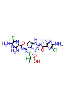 NC(=NC(=O)c1nc(Cl)c(N)nc1N)N1CC[C@@H](N/C(N)=N/C(=O)c2nc(Cl)c(N)nc2N)C1.O=C(O)C(F)(F)F